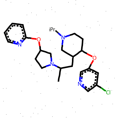 CC(C)N1CCC(Oc2cncc(Cl)c2)C(CC(C)N2CCC(Oc3ccccn3)C2)C1